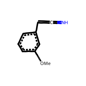 COc1cccc(C=C=N)c1